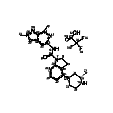 Cc1nc(NC(=O)N2CCc3c(N4CCN[C@@H](C)C4)ccnc32)cc2cn(C)nc12.O=C(O)C(F)(F)F